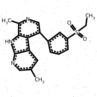 CCS(=O)(=O)c1cccc(-c2cnc(C)c3[nH]c4ncc(C)cc4c23)c1